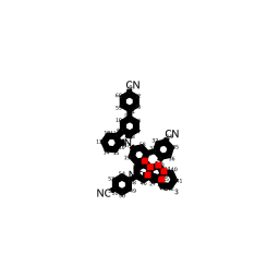 N#Cc1ccc(-c2ccc3c(c2)c2ccccc2n3-c2ccc(-c3ccc(C(F)(F)F)cc3C#N)c(-c3cc(C#N)ccc3-n3c4ccccc4c4cc(-c5ccc(C#N)cc5)ccc43)c2)cc1